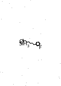 CC(C)(CCCCCCc1cccc(F)c1)O[SiH3]